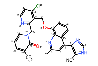 Cc1cc(-c2nc[nH]c2C#N)c2cccc(OCc3c(Cl)ccnc3Cn3cccc(C(F)(F)F)c3=O)c2n1